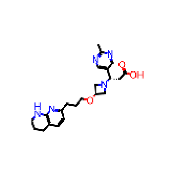 Cc1ncc([C@H](CC(=O)O)N2CC(OCCCc3ccc4c(n3)NCCC4)C2)cn1